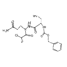 CC(C)C[C@H](NC(=O)OCc1ccccc1)C(=O)NN(CCC(N)=O)C(=O)C(F)Cl